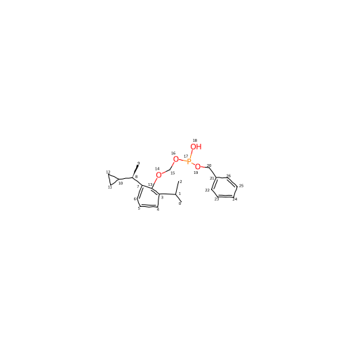 CC(C)c1cccc([C@H](C)C2CC2)c1OCOP(O)OCc1ccccc1